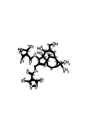 CCC1=C(C(=O)OC2C(COC(=O)c3c(CC)noc3CC)=CC34CCC5C(C(C=C(CO)C(O)C23O)C4=O)C5(C)C)C(CC)NO1